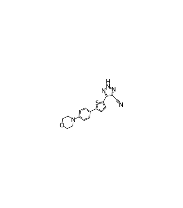 N#Cc1n[nH]nc1-c1ccc(-c2ccc(N3CCOCC3)cc2)s1